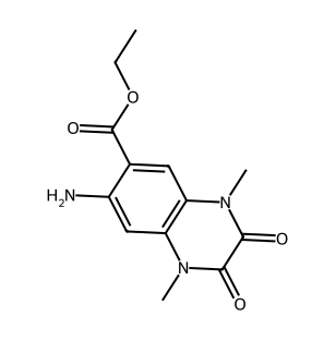 CCOC(=O)c1cc2c(cc1N)n(C)c(=O)c(=O)n2C